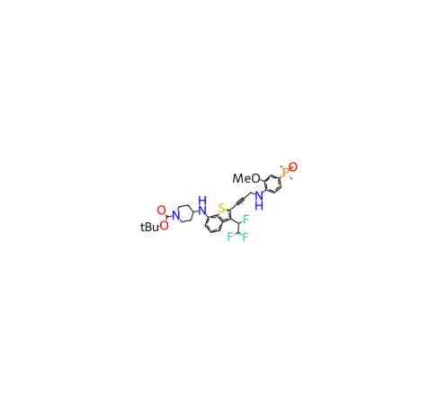 COc1cc(P(C)(C)=O)ccc1NCC#Cc1sc2c(NC3CCN(C(=O)OC(C)(C)C)CC3)cccc2c1C(F)C(F)F